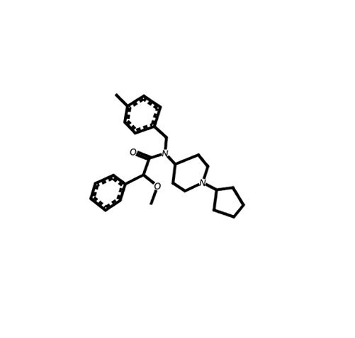 COC(C(=O)N(Cc1ccc(C)cc1)C1CCN(C2CCCC2)CC1)c1ccccc1